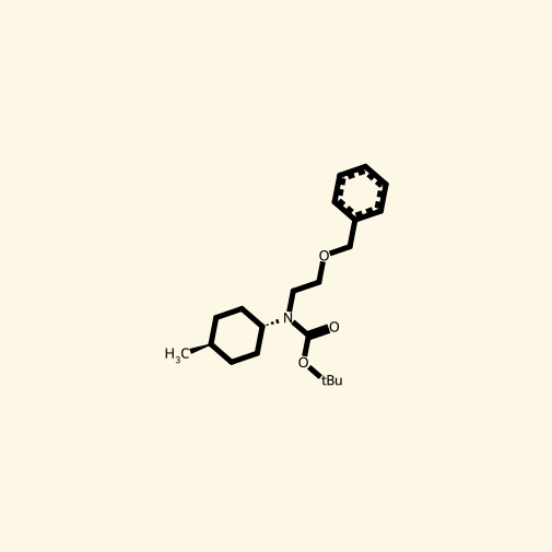 CC(C)(C)OC(=O)N(CCOCc1ccccc1)[C@H]1CC[C@H](C)CC1